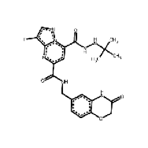 CC(C)(C)NNC(=O)c1cc(C(=O)NCc2ccc3c(c2)NC(=O)CO3)nc2c(F)cnn12